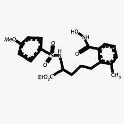 CCOC(=O)C(CCCc1c(C)cccc1C(=O)NO)NS(=O)(=O)c1ccc(OC)cc1